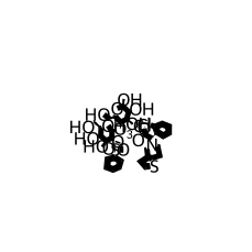 COC(=O)[C@H](c1ccccc1Cl)N1CCc2sccc2C1.O=S(=O)(O[C@H]1[C@H](O[C@H]2[C@H](O)[C@@H](O)[C@H](O)O[C@@H]2CO)O[C@H](CO)[C@H](O)[C@@H]1O)c1ccccc1